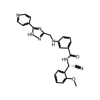 COc1ccccc1[C@@H](C#N)NC(=O)c1cccc(NCc2n[nH]c(-c3ccncc3)n2)c1